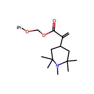 C=C(C(=O)OCOC(C)C)C1CC(C)(C)N(C)C(C)(C)C1